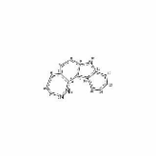 c1cnnc2c(c1)ccc1nc3ccccc3c12